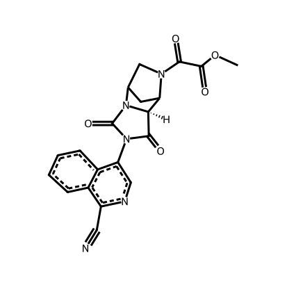 COC(=O)C(=O)N1CC2CC1[C@H]1C(=O)N(c3cnc(C#N)c4ccccc34)C(=O)N21